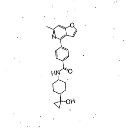 Cc1cc2occc2c(-c2ccc(C(=O)N[C@H]3CC[C@H](C4(O)CC4)CC3)cc2)n1